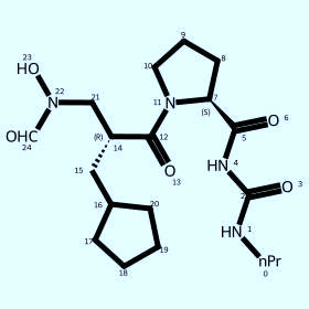 CCCNC(=O)NC(=O)[C@@H]1CCCN1C(=O)[C@H](CC1CCCC1)CN(O)C=O